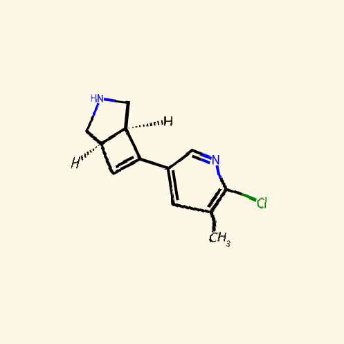 Cc1cc(C2=C[C@H]3CNC[C@@H]23)cnc1Cl